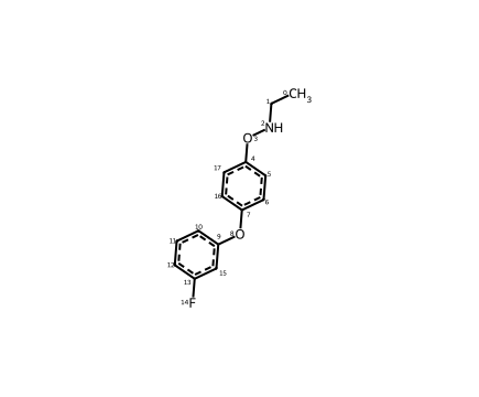 CCNOc1ccc(Oc2cccc(F)c2)cc1